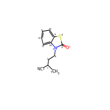 CC(C#N)CCn1c(=O)sc2ccccc21